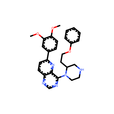 COc1ccc(-c2ccc3ncnc(N4CCNCC4CCOc4ccccc4)c3n2)cc1OC